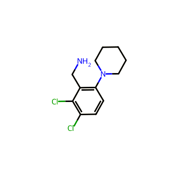 NCc1c(N2CCCCC2)ccc(Cl)c1Cl